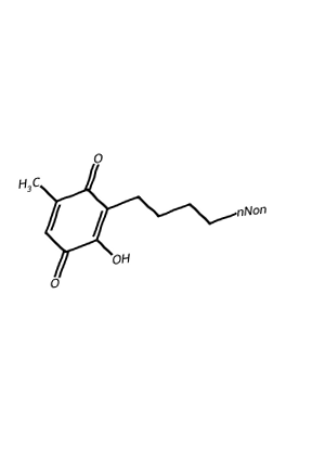 CCCCCCCCCCCCCC1=C(O)C(=O)C=C(C)C1=O